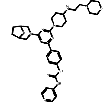 O=C(Nc1ccncc1)Nc1ccc(-c2nc(N3CCC(NCCN4CCOCC4)CC3)nc(N3CC4CCC(C3)O4)n2)cc1